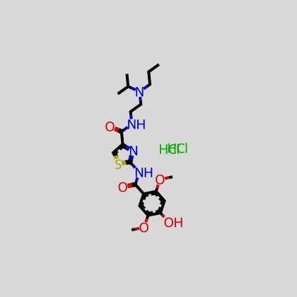 CCCN(CCNC(=O)c1csc(NC(=O)c2cc(OC)c(O)cc2OC)n1)C(C)C.Cl.Cl